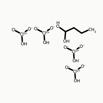 CCCC(O)O.[O-][Cl+2]([O-])O.[O-][Cl+2]([O-])O.[O-][Cl+2]([O-])O.[O-][Cl+2]([O-])O